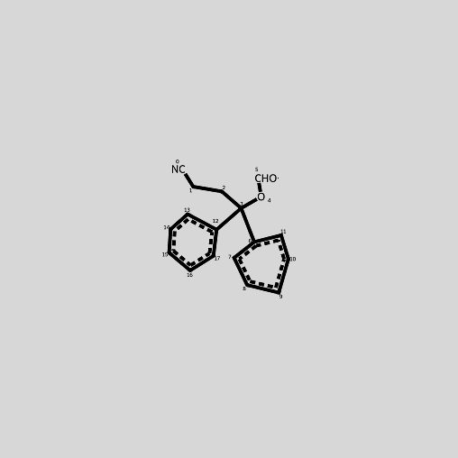 N#CCCC(O[C]=O)(c1ccccc1)c1ccccc1